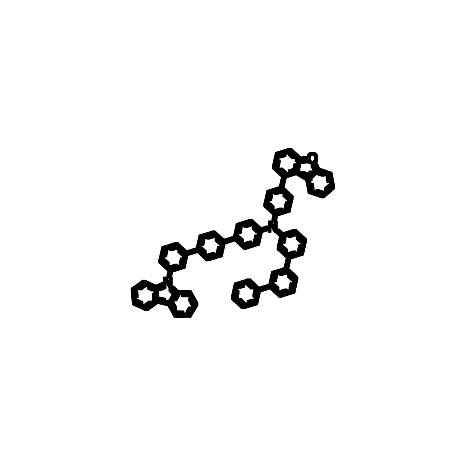 c1ccc(-c2cccc(-c3cccc(N(c4ccc(-c5ccc(-c6cccc(-n7c8ccccc8c8ccccc87)c6)cc5)cc4)c4ccc(-c5cccc6oc7ccccc7c56)cc4)c3)c2)cc1